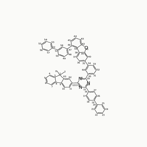 CC1(C)c2ccccc2-c2ccc(-c3nc(-c4ccc(-c5ccccc5)cc4)nc(-c4cccc(-c5ccc6c(c5)oc5cccc(-c7cccc(-c8ccccc8)c7)c56)c4)n3)cc21